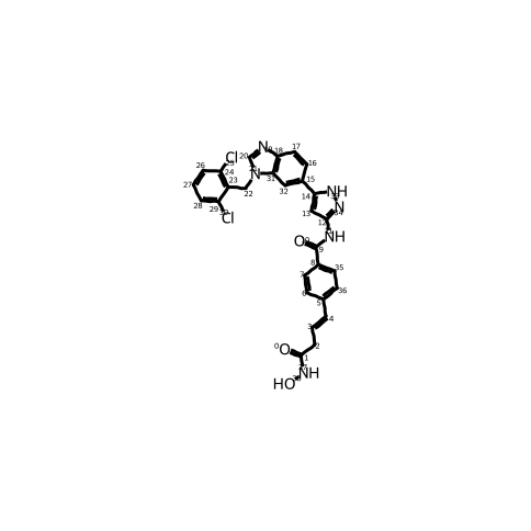 O=C(CC=Cc1ccc(C(=O)Nc2cc(-c3ccc4ncn(Cc5c(Cl)cccc5Cl)c4c3)[nH]n2)cc1)NO